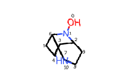 ON1C2CC3CC1CC(C2)N3